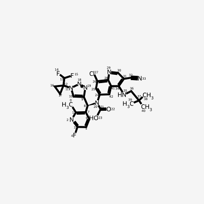 Cc1nc(F)ccc1[C@@H](c1cn(C2(C(F)F)CC2)nn1)N(C(=O)O)c1cc(Cl)c2ncc(C#N)c(NCC(C)(C)C)c2c1